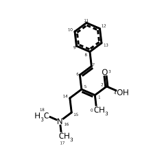 CC(C(=O)O)=C(C=Cc1ccccc1)CCN(C)C